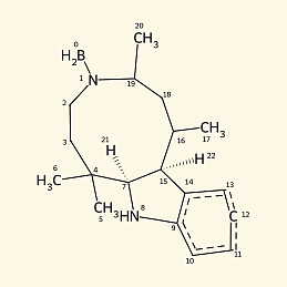 BN1CCC(C)(C)[C@@H]2Nc3ccccc3[C@@H]2C(C)CC1C